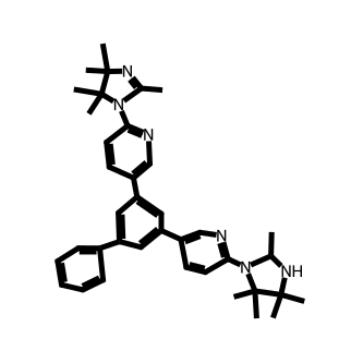 CC1=NC(C)(C)C(C)(C)N1c1ccc(-c2cc(-c3ccccc3)cc(-c3ccc(N4C(C)NC(C)(C)C4(C)C)nc3)c2)cn1